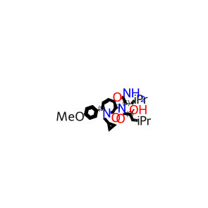 COc1ccc([C@@H]2C=CC[C@H](N(C(=O)[C@@H](O)CC(C)C)[C@@H](CC(C)C)C(N)=O)C(=O)N2CC2CC2)cc1